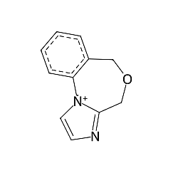 C1=C[N+]2C(=N1)COCc1ccccc12